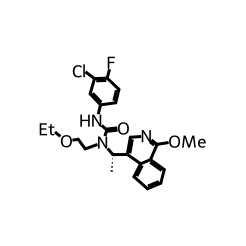 CCOCCN(C(=O)Nc1ccc(F)c(Cl)c1)[C@@H](C)c1cnc(OC)c2ccccc12